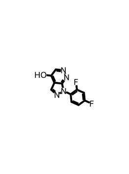 Oc1cnnc2c1cnn2-c1ccc(F)cc1F